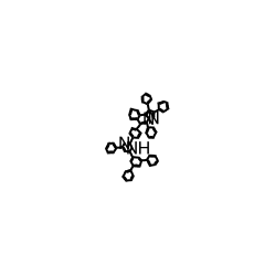 C1=C(c2ccccc2)N=C(c2ccc(-c3c(-c4ccccc4)n4nc(-c5ccccc5)c(-c5ccccc5)c4c4ccccc34)cc2)NC1c1cc(-c2ccccc2)cc(-c2ccccc2)c1